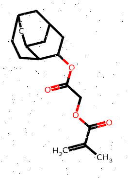 C=C(C)C(=O)OCC(=O)OC1CC2CC3CCC1C(C3)C2